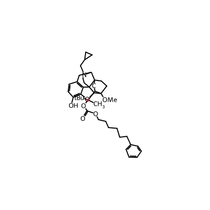 COC12CCC3(CC1C(C)(OC(=O)OCCCCCCc1ccccc1)C(C)(C)C)C1Cc4ccc(O)c5c4C3(CCN1CC1CC1)C2O5